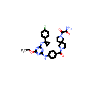 NC(=O)C(=O)N1CCC2(CCN(C(=O)c3ccc(Nc4nc(NC5(c6ccc(Cl)cc6)CC5)nc(OCC(F)(F)F)n4)cc3)C2)C1